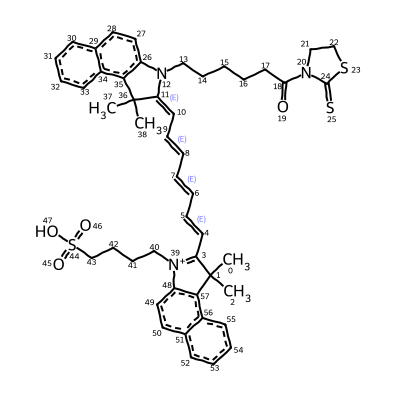 CC1(C)C(/C=C/C=C/C=C/C=C2/N(CCCCCC(=O)N3CCSC3=S)c3ccc4ccccc4c3C2(C)C)=[N+](CCCCS(=O)(=O)O)c2ccc3ccccc3c21